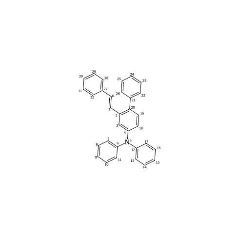 C(=Cc1cc(N(c2ccccc2)c2ccccc2)ccc1-c1ccccc1)c1ccccc1